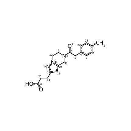 Cc1ccc(CC(=O)N2CCn3nc(CCC(=O)O)cc3C2)cc1